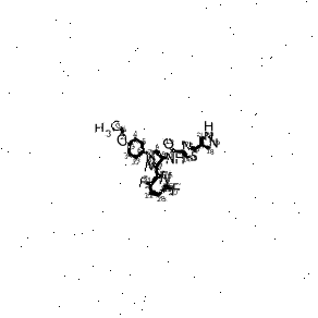 CCO[C@H]1CC[C@@H](n2cc(NC(=O)c3csc(-c4cn[nH]c4)n3)c(-c3nc(F)ccc3F)n2)CC1